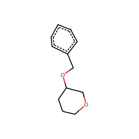 c1ccc(COC2CCCOC2)cc1